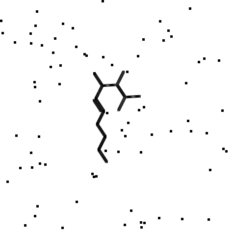 CCCCC=CC(C)C(C)C(C)C